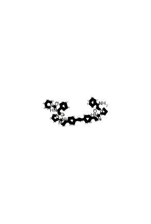 N[C@@H](C(=O)N1CCC[C@H]1c1ncc(-c2ccc(C#Cc3ccc(-c4cnc([C@@H]5CCCN5C(=O)[C@H](NC(=O)N5CCCCC5)c5ccccc5)[nH]4)cc3)cc2)[nH]1)c1ccccc1